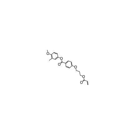 C=CC(=O)OCCCOc1ccc(C(=O)Oc2ccc(OC)c(C)c2)cc1